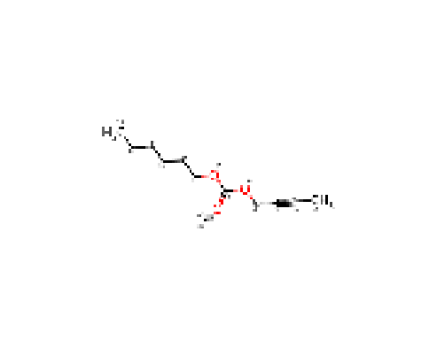 CC#CCOC(=O)OCCCCCC.[Pu]